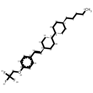 CCCCC[C@H]1CC[C@H]([C@H]2CC[C@H](C=Cc3ccc(OCC(F)(F)F)cc3)CC2)CC1